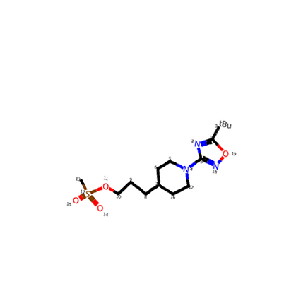 CC(C)(C)c1nc(N2CCC(CCCOS(C)(=O)=O)CC2)no1